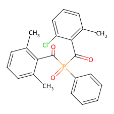 Cc1cccc(C)c1C(=O)P(=O)(C(=O)c1c(C)cccc1Cl)c1ccccc1